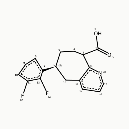 O=C(O)C1CC[C@H](c2cccc(F)c2F)Cc2cccnc21